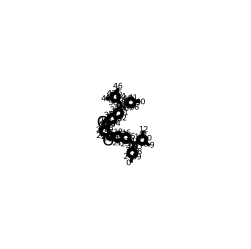 Cc1ccc(N(c2cc(C)cc(C)c2)c2ccc3cc4c(cc3c2)oc2ccc3oc5cc6cc(N(c7ccc(C)cc7)c7cc(C)cc(C)c7)ccc6cc5c3c24)cc1